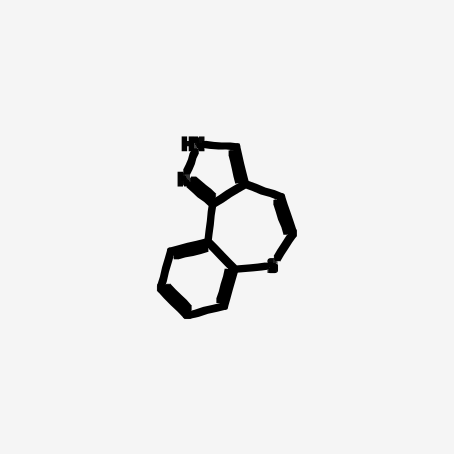 C1=Cc2c[nH]nc2-c2ccccc2S1